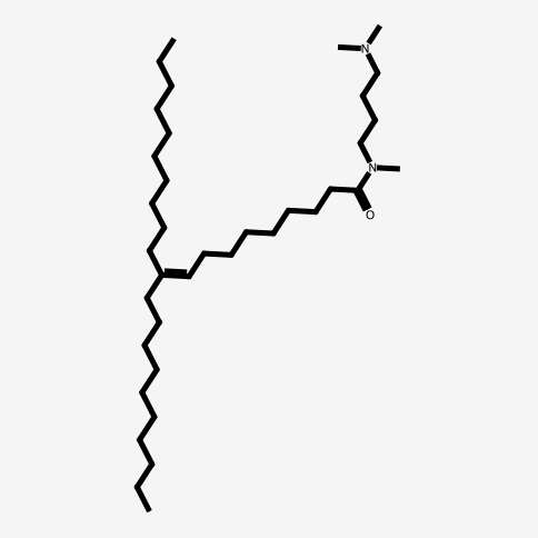 CCCCCCCCCCC(=CCCCCCCCC(=O)N(C)CCCCN(C)C)CCCCCCCCCC